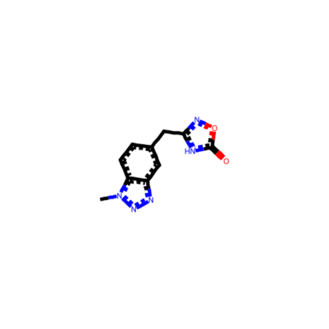 Cn1nnc2cc(Cc3noc(=O)[nH]3)ccc21